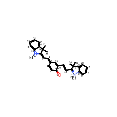 CCN1/C(=C/C=C2\C=CC(=O)C(/C=C/C3=[N+](CC)c4ccccc4C3(C)C)=C2)C(C)(C)c2ccccc21